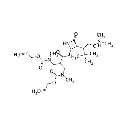 C=CCOC(=O)N(C)CC(CN(C)C(=O)OCC=C)C(=O)C[C@H]1NC(=O)[C@H]1[C@@H](CO[SiH](C)C)C(C)(C)C